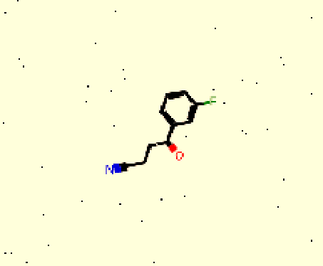 N#CCCC(=O)c1cccc(F)c1